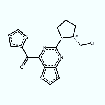 O=C(c1cccs1)c1nc(N2CCC[C@@H]2CO)nc2ccsc12